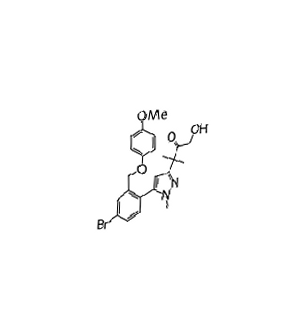 COc1ccc(OCc2cc(Br)ccc2-c2cc(C(C)(C)C(=O)CO)nn2C)cc1